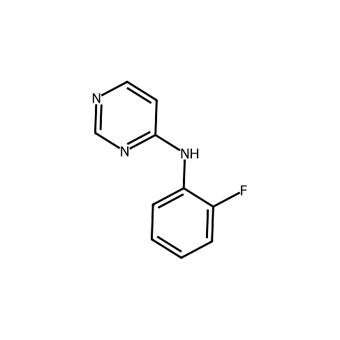 Fc1ccccc1Nc1ccncn1